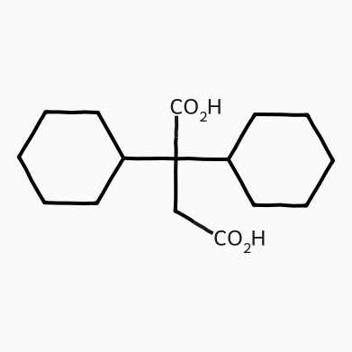 O=C(O)CC(C(=O)O)(C1CCCCC1)C1CCCCC1